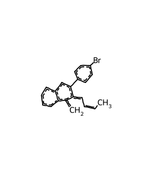 C=c1/c(=C\C=C/C)c(-c2ccc(Br)cc2)cc2ccccc12